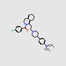 CN(C)c1ccc(C2CCN(CCC3=C4CCCC=C4CCN3C(=O)c3ccc(F)cc3)CC2)cc1